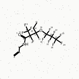 C=CCNC(=O)C(F)(C(F)(F)F)C(C)(CC)OC(F)(F)C(F)(F)C(F)(F)F